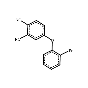 CC(C)c1ccccc1Oc1ccc(C#N)c(C#N)c1